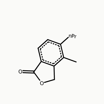 CCCc1ccc2c(c1C)COC2=O